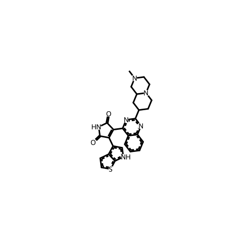 CN1CCN2CCC(c3nc(C4=C(c5c[nH]c6sccc56)C(=O)NC4=O)c4ccccc4n3)CC2C1